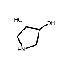 Cl.OC1CCNC1